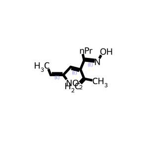 C=C(C)C(=C\C(=C/C)[N+](=O)[O-])/C(CCC)=N/O